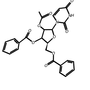 CC(=O)OC1C(OC(=O)c2ccccc2)[C@H](COC(=O)c2ccccc2)OC1n1ccc(=O)[nH]c1=O